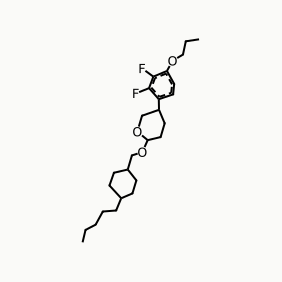 CCCCCC1CCC(COC2CCC(c3ccc(OCCC)c(F)c3F)CO2)CC1